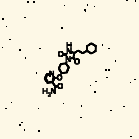 NC(=O)c1cccnc1O[C@H]1CC[C@H](N2C(=O)NC(CCC3CCCCC3)C2=O)CC1